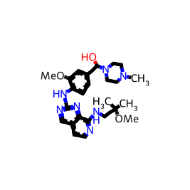 COc1cc(C(O)N2CCN(C)CC2)ccc1Nc1ncc2ccnc(NCC(C)(C)OC)c2n1